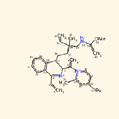 C=CC1=NC(C(=C)[n+]2ccc(C(C)(C)C)cc2C)C(CCC(C)(C=C)CNC(=C)OC)c2ccccc21